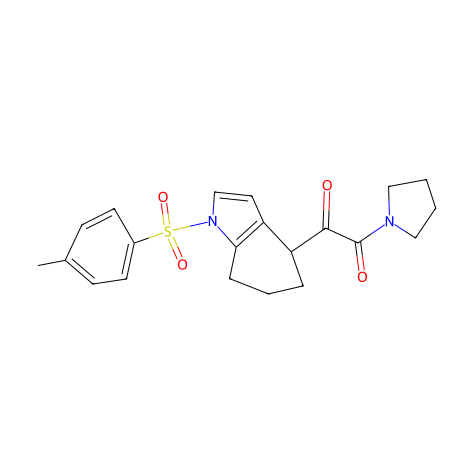 Cc1ccc(S(=O)(=O)n2ccc3c2CCCC3C(=O)C(=O)N2CCCC2)cc1